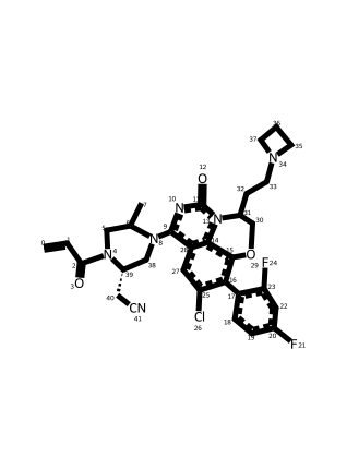 C=CC(=O)N1CC(C)N(c2nc(=O)n3c4c(c(-c5ccc(F)cc5F)c(Cl)cc24)OCC3CCN2CCC2)C[C@@H]1CC#N